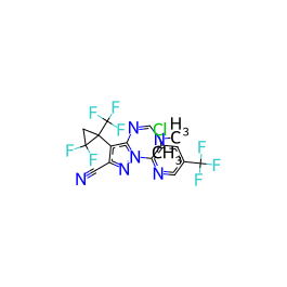 CN(C)/C=N\c1c(C2(C(F)(F)F)CC2(F)F)c(C#N)nn1-c1ncc(C(F)(F)F)cc1Cl